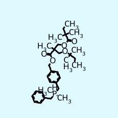 CCC(C)(C)OCC(C)(COC(=O)C(C)(C)CC)C(=O)OCc1ccc(C[PH](C)(C)Cc2ccccc2)cc1